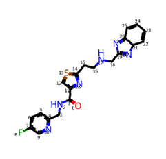 O=C(NCc1ccc(F)cn1)c1csc(CCNCC2=NC3C=CC=CC3=N2)n1